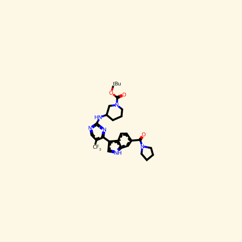 CC(C)(C)OC(=O)N1CCCC(Nc2ncc(C(F)(F)F)c(-c3c[nH]c4cc(C(=O)N5CCCC5)ccc34)n2)C1